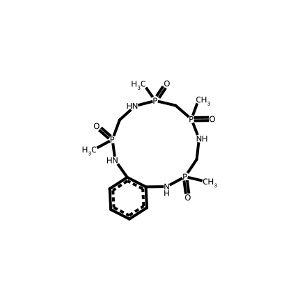 CP1(=O)CP(C)(=O)NCP(C)(=O)Nc2ccccc2NP(C)(=O)CN1